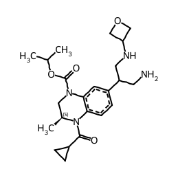 CC(C)OC(=O)N1C[C@H](C)N(C(=O)C2CC2)c2ccc(C(CN)CNC3COC3)cc21